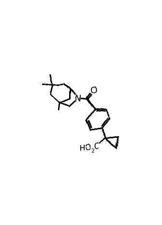 CC1(C)CC2CC(C)(CN2C(=O)c2ccc(C3(C(=O)O)CC3)cc2)C1